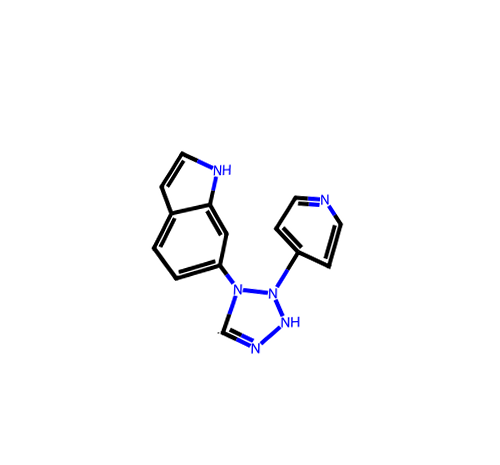 [C]1=NNN(c2ccncc2)N1c1ccc2cc[nH]c2c1